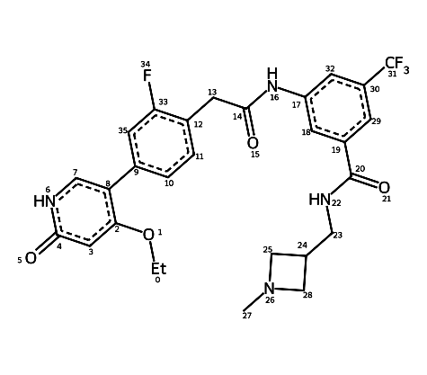 CCOc1cc(=O)[nH]cc1-c1ccc(CC(=O)Nc2cc(C(=O)NCC3CN(C)C3)cc(C(F)(F)F)c2)c(F)c1